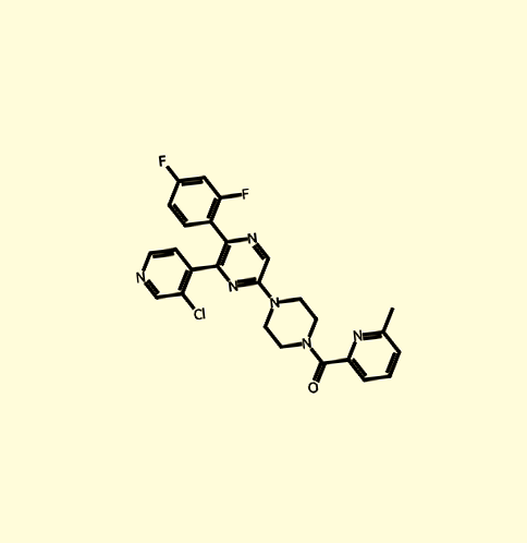 Cc1cccc(C(=O)N2CCN(c3cnc(-c4ccc(F)cc4F)c(-c4ccncc4Cl)n3)CC2)n1